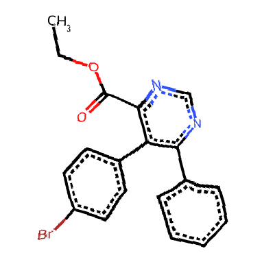 CCOC(=O)c1ncnc(-c2ccccc2)c1-c1ccc(Br)cc1